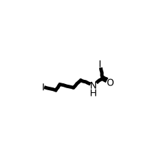 O=C(I)NCCCCI